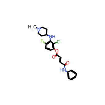 CN1CCC(Nc2c(F)ccc(OC(=O)/C=C/C(=O)Nc3ccccc3)c2Cl)CC1